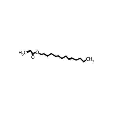 C=CC(=O)OCCCCCCCCC=CCCCC